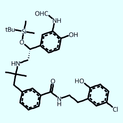 CC(C)(Cc1cccc(C(=O)NCCc2cc(Cl)ccc2O)c1)NC[C@H](O[Si](C)(C)C(C)(C)C)c1ccc(O)c(NC=O)c1